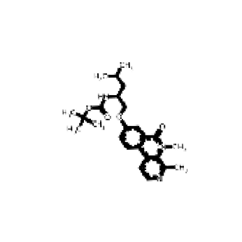 Cc1nccc2c3ccc(OCC(CC(C)C)NC(=O)OC(C)(C)C)cc3c(=O)n(C)c12